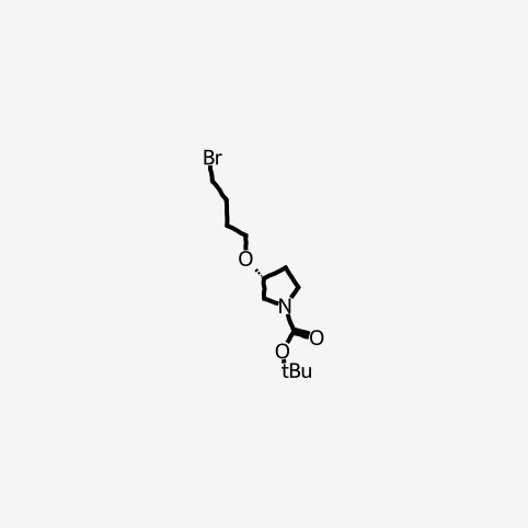 CC(C)(C)OC(=O)N1CC[C@@H](OCCCCBr)C1